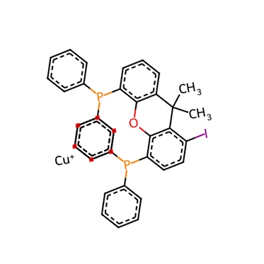 CC1(C)c2cccc(P(c3ccccc3)c3ccccc3)c2Oc2c(P(c3ccccc3)c3ccccc3)ccc(I)c21.[Cu+]